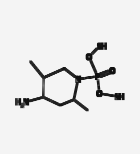 CC1CN(P(=O)(OS)OS)C(C)CC1N